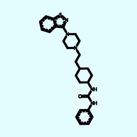 O=C(Nc1ccccc1)NC1CCC(CCN2CCN(c3nsc4ccccc34)CC2)CC1